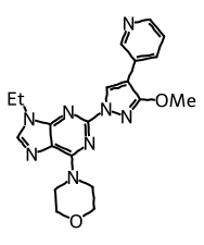 CCn1cnc2c(N3CCOCC3)nc(-n3cc(-c4cccnc4)c(OC)n3)nc21